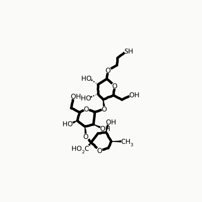 C[C@H]1CO[C@@](O[C@@H]2[C@H](O)C(O[C@@H]3C(CO)OC(OCCS)[C@@H](O)[C@H]3O)OC(CO)[C@@H]2O)(C(=O)O)C[C@H]1O